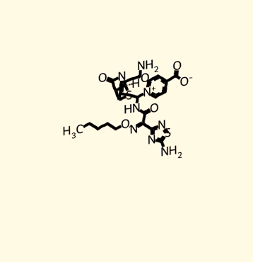 CCCCCON=C(C(=O)NC(C1=C(C(N)=O)N2C(=O)C3C1S[C@@H]32)[n+]1ccc(C(=O)[O-])cc1)c1nsc(N)n1